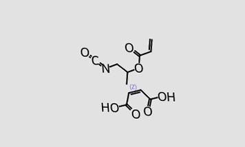 C=CC(=O)OC(C)CN=C=O.O=C(O)/C=C\C(=O)O